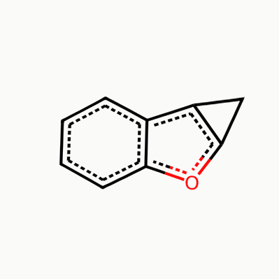 c1ccc2c3c(oc2c1)C3